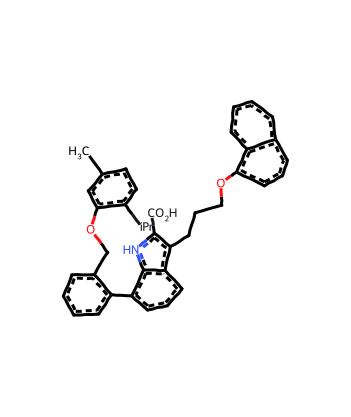 Cc1ccc(C(C)C)c(OCc2ccccc2-c2cccc3c(CCCOc4cccc5ccccc45)c(C(=O)O)[nH]c23)c1